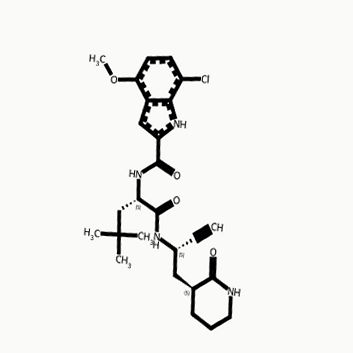 C#C[C@H](C[C@@H]1CCCNC1=O)NC(=O)[C@H](CC(C)(C)C)NC(=O)c1cc2c(OC)ccc(Cl)c2[nH]1